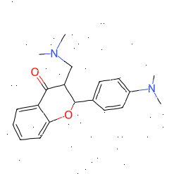 CN(C)CC1C(=O)c2ccccc2OC1c1ccc(N(C)C)cc1